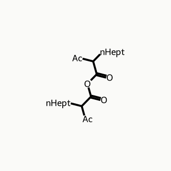 CCCCCCCC(C(C)=O)C(=O)OC(=O)C(CCCCCCC)C(C)=O